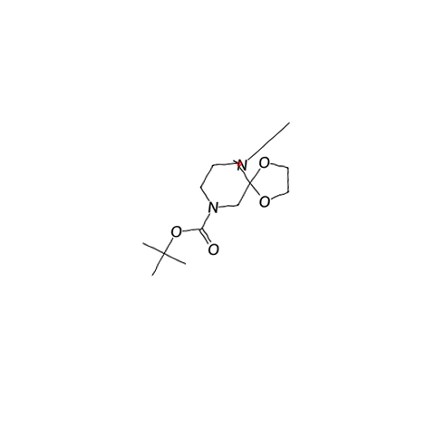 CN1CCC2(CCN(C(=O)OC(C)(C)C)CC23OCCO3)C1